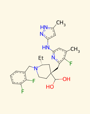 CC[C@@H]1C[C@](Cc2nc(Nc3cc(C)[nH]n3)cc(C)c2F)(C(O)O)CCN1Cc1cccc(F)c1F